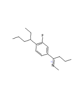 CCC/C(=N\C)c1ccc(C(CC)CCC)c(F)c1